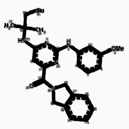 COc1cccc(Nc2nc(NC(C)(C)CC(C)(C)C)cc(C(=O)N3Cc4ccccc4C3)n2)c1